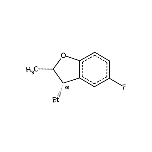 CC[C@H]1c2cc(F)ccc2OC1C